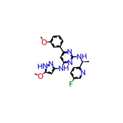 COc1cccc(-c2cc(Nc3cc(OC)[nH]n3)nc(N[C@@H](C)c3ccc(F)cn3)n2)c1